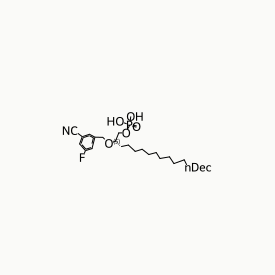 CCCCCCCCCCCCCCCCCCCC[C@@H](COP(=O)(O)O)OCc1cc(F)cc(C#N)c1